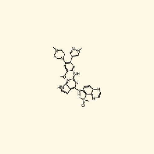 COc1nc(N2CCN(C)CC2)c(-c2cnn(C)c2)cc1Nc1nc(Nc2ccc3nccnc3c2P(C)(C)=O)c2cc[nH]c2n1